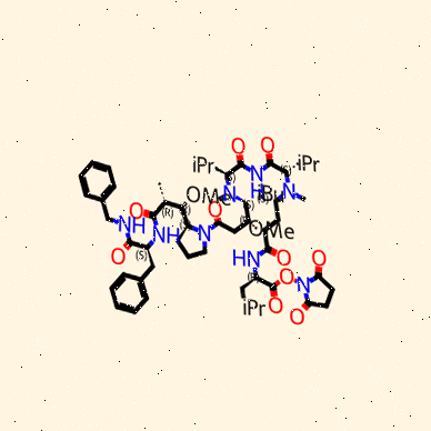 CC[C@H](C)[C@@H]([C@@H](CC(=O)N1CCC[C@H]1[C@H](OC)[C@@H](C)C(=O)N[C@@H](Cc1ccccc1)C(=O)NCc1ccccc1)OC)N(C)[C@H](C(=O)NC(=O)[C@H](C(C)C)N(C)CCCC(=O)N[C@H](CC(C)C)C(=O)ON1C(=O)CCC1=O)C(C)C